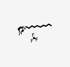 CCCCCCCCCC[n+]1ccn(C)c1.FC(F)F